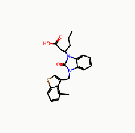 CCCC(CC(=O)O)n1c(=O)n(Cc2csc3cccc(C)c23)c2ccccc21